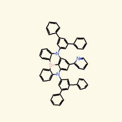 c1ccc(-c2cc(-c3ccccc3)cc(N3c4ccccc4B4c5ccccc5N(c5cc(-c6ccccc6)cc(-c6ccccc6)c5)c5cc(-c6ccccn6)cc3c54)c2)cc1